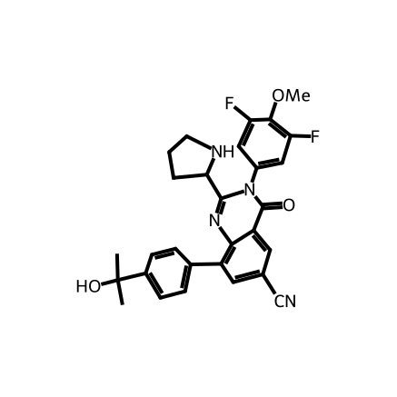 COc1c(F)cc(-n2c(C3CCCN3)nc3c(-c4ccc(C(C)(C)O)cc4)cc(C#N)cc3c2=O)cc1F